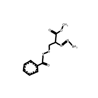 BN=NC(CSSC(=O)c1ccccc1)C(=O)OC